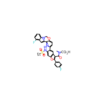 CCS(=O)(=O)Nc1cc2oc(-c3ccc(F)cc3)c(C(=O)N(C)C(=O)O)c2cc1-c1ccc2c(n1)-c1cc3c(F)cccc3n1CO2